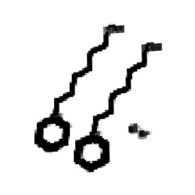 CCCCCCCCCCCCCCCC[n+]1ccccc1.CCCCCCCCCCCCCCCC[n+]1ccccc1.[Br-].[Cl-]